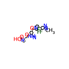 Cn1cnc2cc(-c3cccn4c(C(=O)c5ccc(NC(=O)C=CC6CCCN6C(=O)O)c(C#N)c5)ccc34)c(C(F)(F)F)cc21